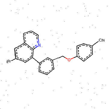 CC(C)c1cc(-c2cccc(COc3ccc(C#N)cc3)c2)c2ncccc2c1